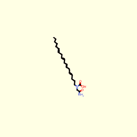 CCCCCC=CCC=CCC=CCC=CCCCN(CC(N)=O)C(=O)O